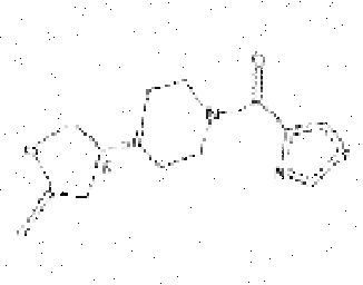 O=C1C[C@@H](N2CCN(C(=O)c3cscn3)CC2)CO1